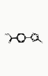 CNC(=O)c1ccc(-c2nsc(Cl)n2)cc1